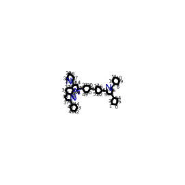 c1ccc(-c2cc(-c3ccccc3)nc(-c3ccc(-c4ccc(-c5cc(-c6ccccn6)c6ccc7ccc(-c8ccccc8)nc7c6n5)cc4)cc3)c2)cc1